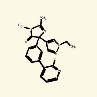 CCn1cc(C2(c3cccc(-c4cccnc4F)c3)N=C(N)N(C)C2=O)cn1